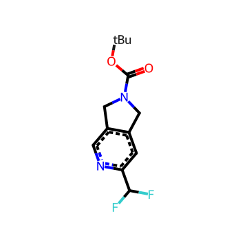 CC(C)(C)OC(=O)N1Cc2cnc(C(F)F)cc2C1